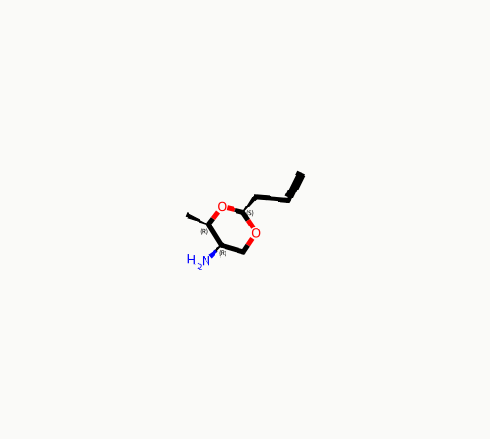 C=CC[C@H]1OC[C@@H](N)[C@@H](C)O1